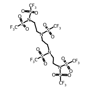 O=S(=O)(N(CCN(CCN(S(=O)(=O)C(F)(F)F)S(=O)(=O)C(F)(F)F)S(=O)(=O)C(F)(F)F)CCN(S(=O)(=O)C(F)(F)F)S(=O)(=O)C(F)(F)F)C(F)(F)F